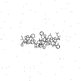 CC[C@H](C)[C@H](NC=O)C(=O)NC(C(=O)N(C)CC(=O)N[C@@H](CC(C)C)C(=O)N(C)[C@@H](C)C(=O)N[C@H](C(=O)N[C@@H](Cc1ccccc1)C(=O)N[C@@H](CC(C)C)C(=O)N(C)[C@@H](CC(C)C)C(=O)N[C@@H](Cc1ccccc1)C(=O)N(C)[C@H](C)CC(C)C)C(C)O)C(=O)N1CCCCC1